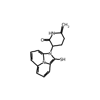 C=C1CCC(N2C3=CC=CC4=CC=CC(=C2S)N43)C(=O)N1